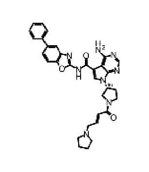 Nc1ncnc2c1c(C(=O)Nc1nc3cc(-c4ccccc4)ccc3o1)cn2[C@@H]1CCN(C(=O)C=CCN2CCCC2)C1